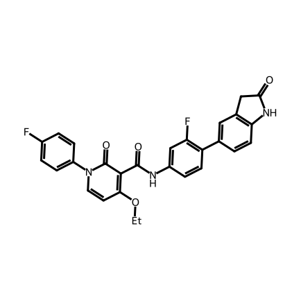 CCOc1ccn(-c2ccc(F)cc2)c(=O)c1C(=O)Nc1ccc(-c2ccc3c(c2)CC(=O)N3)c(F)c1